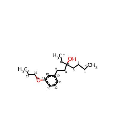 CCCCC(O)(CC)CCc1cccc(OCCC)c1